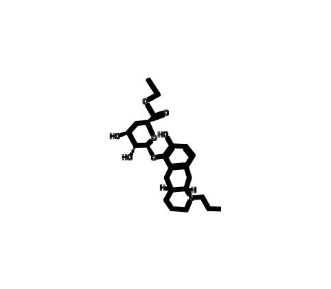 CCCN1CCC[C@@H]2Cc3c(ccc(O)c3O[C@@H]3O[C@H](C(=O)OCC)C[C@H](O)[C@H]3O)C[C@H]21